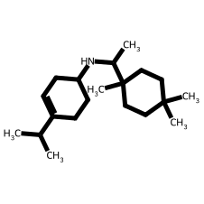 CC(C)C1=CCC(NC(C)C2(C)CCC(C)(C)CC2)CC1